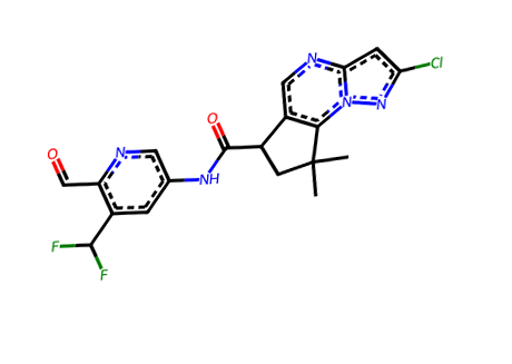 CC1(C)CC(C(=O)Nc2cnc(C=O)c(C(F)F)c2)c2cnc3cc(Cl)nn3c21